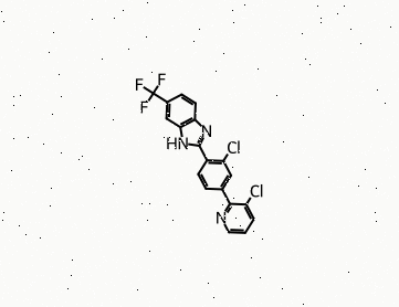 FC(F)(F)c1ccc2nc(-c3ccc(-c4ncccc4Cl)cc3Cl)[nH]c2c1